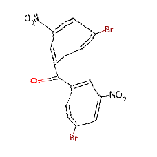 O=C(c1cc(Br)cc([N+](=O)[O-])c1)c1cc(Br)cc([N+](=O)[O-])c1